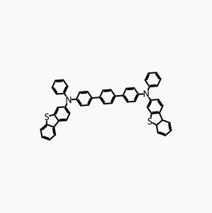 C1=CC2Sc3cc(N(c4ccccc4)c4ccc(-c5ccc(-c6ccc(N(c7ccccc7)c7ccc8c(c7)sc7ccccc78)cc6)cc5)cc4)ccc3C2C=C1